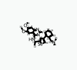 COc1cc2nc(C)nc(NC(C)c3cc(-c4ccccc4CN(C)C)c[se]3)c2cc1OC